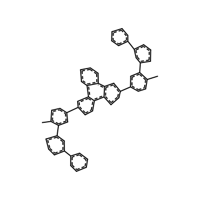 Cc1ccc(-c2ccc3c4ccc(-c5ccc(C)c(-c6cccc(-c7ccccc7)c6)c5)cc4c4ccccc4c3c2)cc1-c1cccc(-c2ccccc2)c1